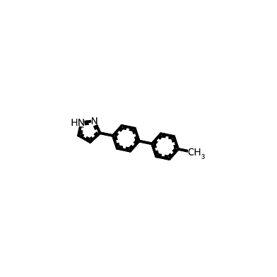 Cc1ccc(-c2ccc(-c3cc[nH]n3)cc2)cc1